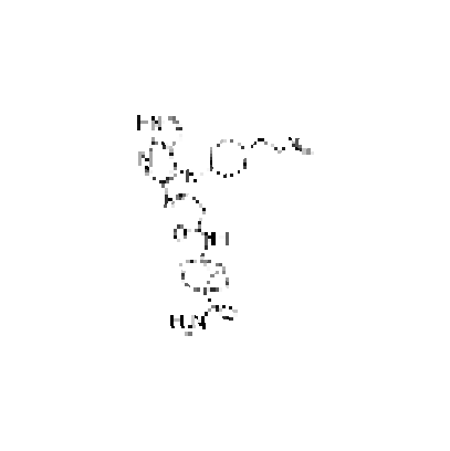 C=NCC[C@H]1CC[C@H](n2c(CC(=O)NC34CCC(C(N)=O)(CC3)C4)nc3cnc4[nH]ccc4c32)CC1